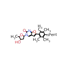 CCCCCc1c(C)c(C)c(-c2cc3cn(C4C[C@@H](O)C(C)O4)c(=O)nc3o2)c(C)c1C